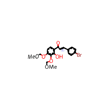 COCOc1ccc(C(=O)/C=C/c2ccc(Br)cc2)c(O)c1OCOC